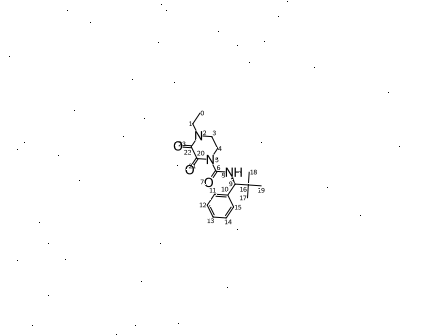 CCN1CCN(C(=O)N[C@H](c2ccccc2)C(C)(C)C)C(=O)C1=O